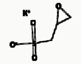 O=S(=O)([O-])CC1CO1.[K+]